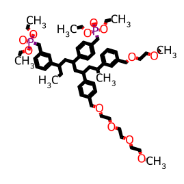 CCOP(=O)(Cc1ccc(C(CC(CC)c2cccc(CP(=O)(OCC)OCC)c2)CC(CC(C)c2cccc(COCCOC)c2)c2ccc(COCCOCCOCCOC)cc2)cc1)OCC